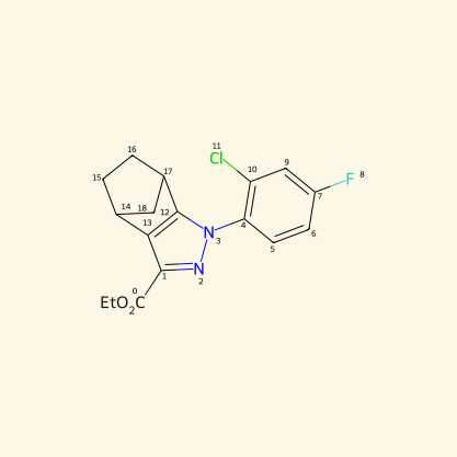 CCOC(=O)c1nn(-c2ccc(F)cc2Cl)c2c1C1CCC2C1